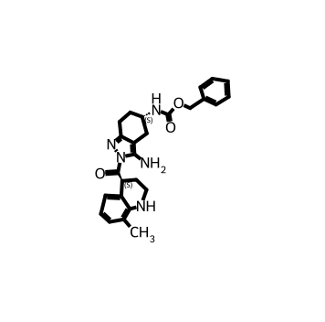 Cc1cccc2c1NCC[C@@H]2C(=O)n1nc2c(c1N)C[C@@H](NC(=O)OCc1ccccc1)CC2